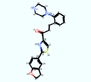 O=C(CCc1ccccc1N1CCNCC1)c1csc(-c2ccc3c(c2)CCO3)n1